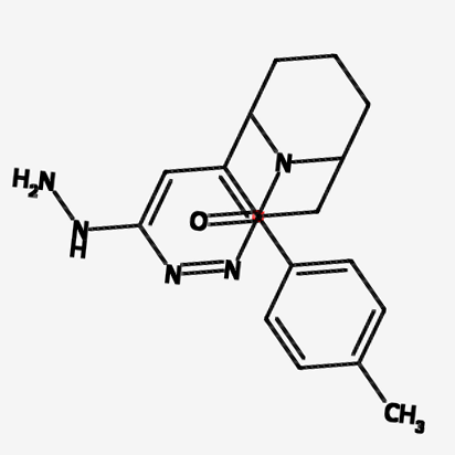 Cc1ccc(C(=O)N2C3CCCC2c2cc(NN)nnc2C3)cc1